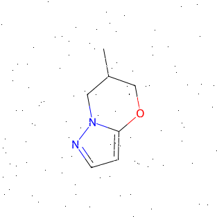 CC1COc2ccnn2C1